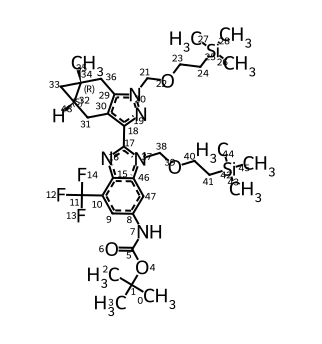 CC(C)(C)OC(=O)Nc1cc(C(F)(F)F)c2nc(-c3nn(COCC[Si](C)(C)C)c4c3C[C@@H]3C[C@]3(C)C4)n(COCC[Si](C)(C)C)c2c1